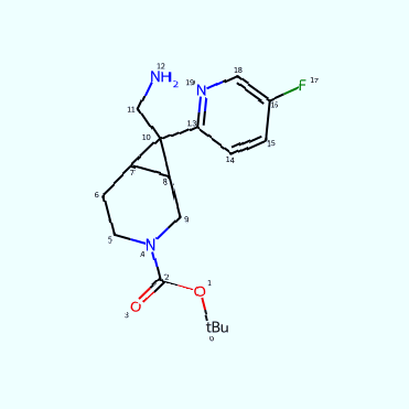 CC(C)(C)OC(=O)N1CCC2C(C1)C2(CN)c1ccc(F)cn1